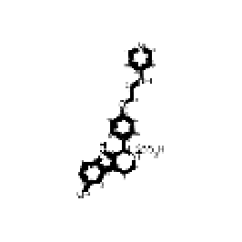 O=C(O)N1CCc2c([nH]c3ccc(Cl)cc23)C1c1ccc(OCCNc2ccncc2)cc1